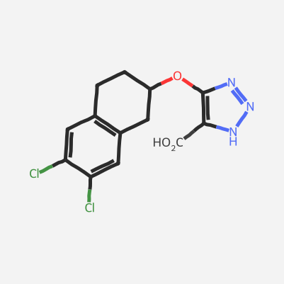 O=C(O)c1[nH]nnc1OC1CCc2cc(Cl)c(Cl)cc2C1